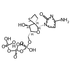 Nc1ccn([C@@H]2O[C@H](COP(=O)(O)OP(=O)(O)OP(=O)(O)O)[C@@H](O)[C@]23CCS3)c(=O)n1